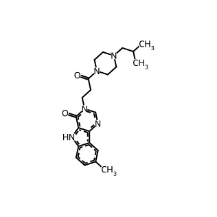 Cc1ccc2[nH]c3c(=O)n(CCC(=O)N4CCN(CC(C)C)CC4)cnc3c2c1